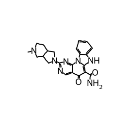 CN1CCC2CN(c3ncc4c(=O)c(C(N)=O)c5[nH]c6ccccc6n5c4n3)CC2C1